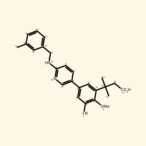 COc1c(C#N)cc(-c2ccc(NCc3cccc(C)c3)nc2)cc1C(C)(C)CC(=O)O